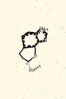 CCCCC[C@@H]1CCc2ccc3[nH]cnc3c2O1